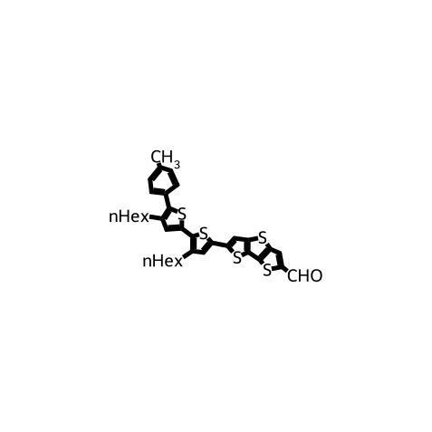 CCCCCCc1cc(-c2sc(-c3cc4sc5cc(C=O)sc5c4s3)cc2CCCCCC)sc1-c1ccc(C)cc1